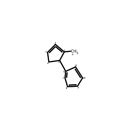 CC1=C=CCC1c1ccccc1